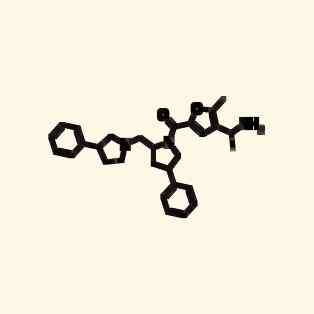 Cc1oc(C(=O)N2CC(c3ccccc3)CC2CN2CCC(c3ccccc3)C2)cc1C(C)N